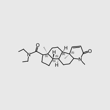 CCN(CC)C(=O)C1CC[C@H]2[C@@H]3CCC4N(C)C(=O)C=C[C@]4(C)[C@@H]3CC[C@]12C